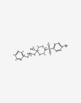 O=S(=O)(c1ccc(Br)cc1)N1CCC(O)(CNCc2ccccc2)CC1